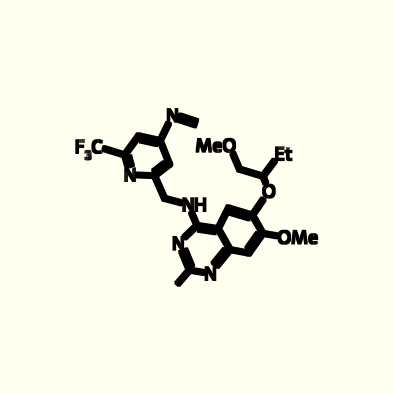 C=Nc1cc(CNc2nc(C)nc3cc(OC)c(OC(CC)COC)cc23)nc(C(F)(F)F)c1